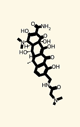 C[C@H]1c2ccc(CNC(=O)CN(C)C)c(O)c2C(=O)C2=C(O)[C@]3(O)C(=O)C(C(N)=O)=C(O)[C@@H](N(C)C)[C@@H]3[C@@H](O)[C@@H]21